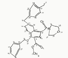 COC(=O)c1nc(C(=O)N2CCOCC2)c2cc(Cc3ccc(F)cc3)cnc2c1OCc1ccccc1